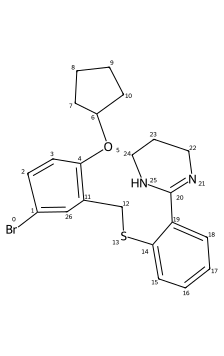 Brc1ccc(OC2CCCC2)c(CSc2ccccc2C2=NCCCN2)c1